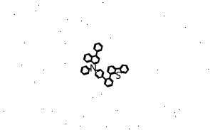 c1ccc(-c2ccc(N(c3ccccc3)c3ccc(-c4ccccc4-c4cccc5c4sc4ccccc45)cc3)c3ccccc23)cc1